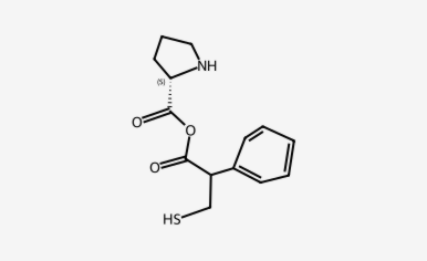 O=C(OC(=O)[C@@H]1CCCN1)C(CS)c1ccccc1